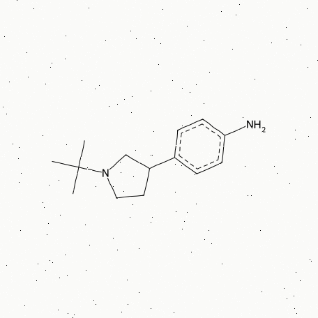 CC(C)(C)N1CCC(c2ccc(N)cc2)C1